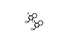 O=Cc1cc(Cl)c2c(c1)CCCC2.O=Cc1cc(F)c2c(c1)CCCC2